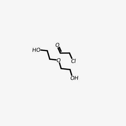 O=CCCl.OCCOCCO